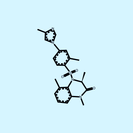 Cc1cn(-c2ccc(S(=O)(=O)N3c4c(C)cccc4N(C)C(=O)[C@@H]3C)c(C)c2)cn1